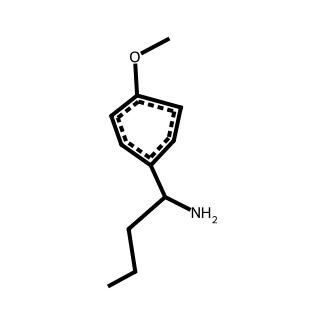 CCCC(N)c1ccc(OC)cc1